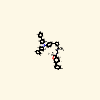 C=c1oc2cc(-c3ccccc3)ccc2/c1=C/C=C(\C)c1cccc(-c2ccc(N(c3ccc(-c4ccccc4)cc3)c3ccc(-c4ccccc4)cc3)cc2)c1